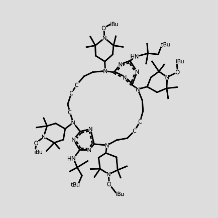 CCC(C)ON1C(C)(C)CC(N2CCCCCCN(C3CC(C)(C)N(OC(C)CC)C(C)(C)C3)c3nc(NC(C)(C)CC(C)(C)C)nc(n3)N(C3CC(C)(C)N(OC(C)CC)C(C)(C)C3)CCCCCCN(C3CC(C)(C)N(OC(C)CC)C(C)(C)C3)c3nc(NC(C)(C)CC(C)(C)C)nc2n3)CC1(C)C